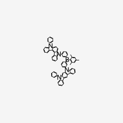 Cc1cc(C)c(B(c2cccc(-n3c4ccccc4c4cc5c6ccccc6n(-c6ccccc6)c5cc43)c2)c2cccc(-n3c4ccccc4c4c5c6ccccc6n(-c6ccccc6)c5ccc43)c2)c(C)c1